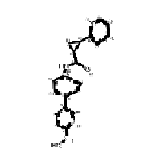 CC(C)Oc1ccc(-c2ccc(NC(=O)C3CC3c3ccccn3)cc2)cn1